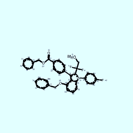 COCC(F)(F)c1c(-c2ccc(C(=O)OCc3ccccc3)cc2)c2c(OCc3ccccc3)cccc2n1-c1ccc(F)cc1